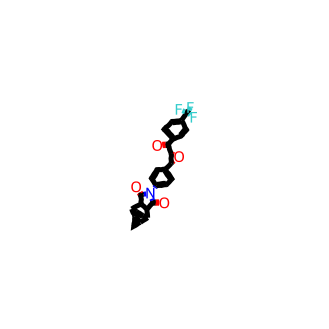 O=C(c1ccc(C(F)(F)F)cc1)C1OC1c1ccc(N2C(=O)C3C4C=CC(C5CC45)C3C2=O)cc1